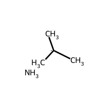 C[C](C)C.N